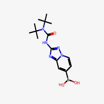 CC(C)(C)N(C(=O)Nc1nc2cc(B(O)O)ccn2n1)C(C)(C)C